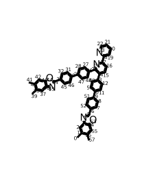 Cc1cc2nc(-c3ccc(-c4ccc(-c5ccc(-c6ccccn6)nc5-c5ccc(-c6ccc(-c7nc8cc(C)c(C)cc8o7)cc6)cc5)cc4)cc3)oc2cc1C